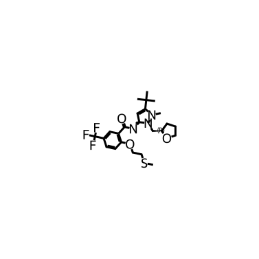 CSCCOc1ccc(C(F)(F)F)cc1C(=O)N=c1cc(C(C)(C)C)n(C)n1C[C@H]1CCCO1